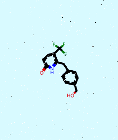 O=c1ccc(C(F)(F)F)c(Cc2ccc(CO)cc2)[nH]1